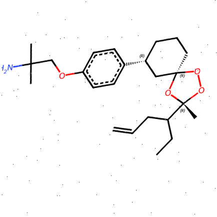 C=CCC(CC)[C@@]1(C)OO[C@@]2(CCC[C@@H](c3ccc(OCC(C)(C)N)cc3)C2)O1